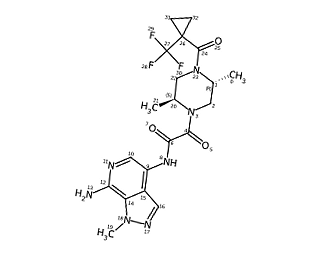 C[C@@H]1CN(C(=O)C(=O)Nc2cnc(N)c3c2cnn3C)[C@@H](C)CN1C(=O)C1(C(F)(F)F)CC1